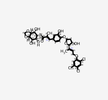 C/C(=C\c1ccc(O[C@H]2C[C@H](O)[C@@H](/C(C)=C/COc3cc(Cl)c(Cl)cc3Cl)O2)c(O)c1)C(=O)N[C@@H]1[C@H](O)[C@@H](O)[C@H]2OCO[C@H]2[C@@H]1O